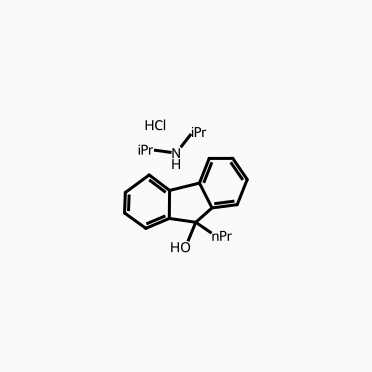 CC(C)NC(C)C.CCCC1(O)c2ccccc2-c2ccccc21.Cl